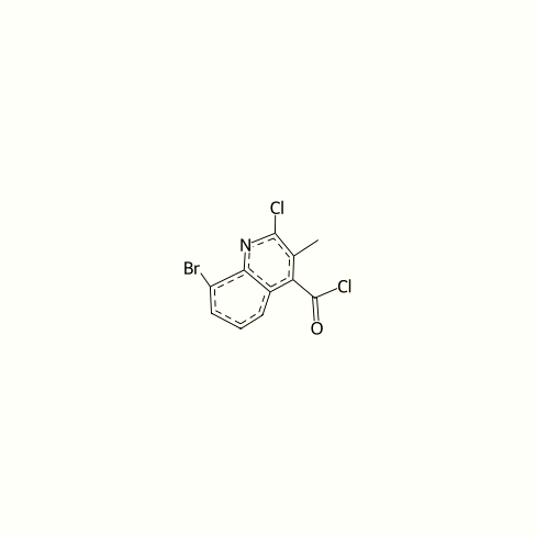 Cc1c(Cl)nc2c(Br)cccc2c1C(=O)Cl